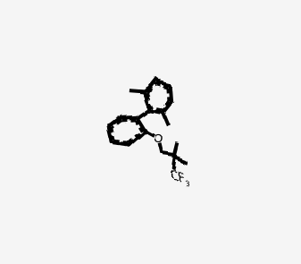 Cc1cccc(C)c1-c1[c]cccc1OCC(C)(C)C(F)(F)F